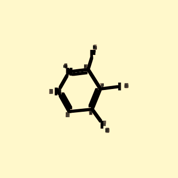 Fc1cnnc(F)c1I